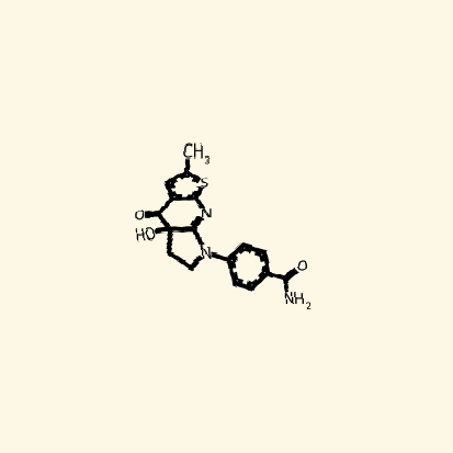 Cc1cc2c(s1)N=C1N(c3ccc(C(N)=O)cc3)CCC1(O)C2=O